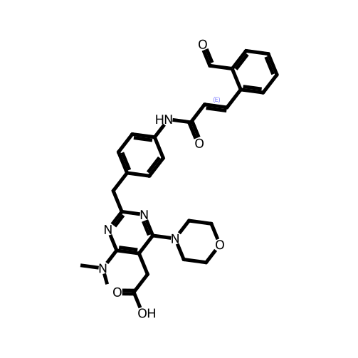 CN(C)c1nc(Cc2ccc(NC(=O)/C=C/c3ccccc3C=O)cc2)nc(N2CCOCC2)c1CC(=O)O